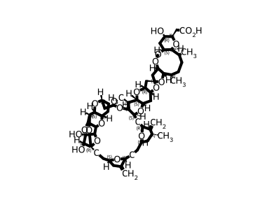 C=C1C[C@@H]2CC[C@]34OC5C6O[C@H]7CC[C@H](CC(=O)O[C@@H]8[C@@H](C)[C@@H]9O[C@@H]%10C[C@]%11(C[C@@H]%12OO[C@H]%13C[C@@H](O)[C@@H](CC(=O)O)O[C@H]%13C(C)CC[C@H](C)[C@@H]%12O%11)O[C@@H]%10C[C@@H]9O[C@H]8C[C@H]8O[C@@H](CC[C@@H]1O2)C[C@@H](C)C8=C)O[C@@H]7[C@H](O3)C6O[C@@]5(O)[C@H]4O